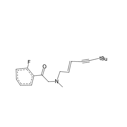 CN(C/C=C/C#CC(C)(C)C)CC(=O)c1ccccc1F